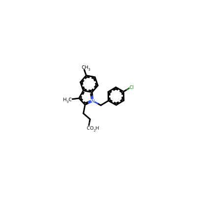 Cc1ccc2c(c1)c(C)c(CCC(=O)O)n2Cc1ccc(Cl)cc1